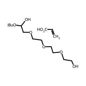 C=CC(=O)O.CC(C)COC(O)COCCOCCOCCO